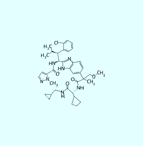 COCC(C)(C(=O)N[C@@H](C(=O)NCC1CC1)C1CCC1)c1ccc2nc([C@@H](NC(=O)c3ccnn3C)[C@H](c3ccccc3Cl)C(C)C)[nH]c2c1